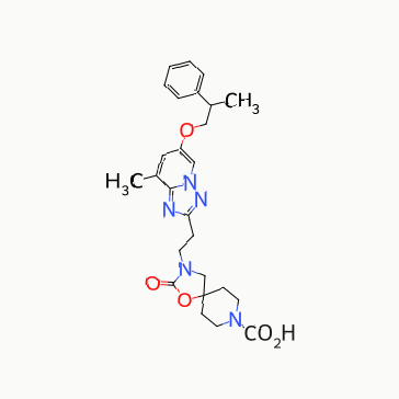 Cc1cc(OCC(C)c2ccccc2)cn2nc(CCN3CC4(CCN(C(=O)O)CC4)OC3=O)nc12